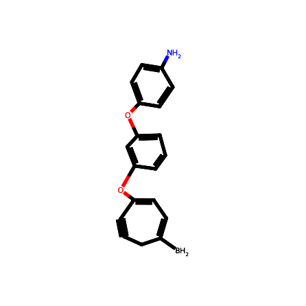 BC1=CC=C(Oc2cccc(Oc3ccc(N)cc3)c2)C#CC1